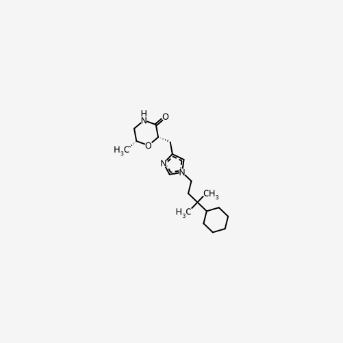 C[C@@H]1CNC(=O)[C@H](Cc2cn(CCC(C)(C)C3CCCCC3)cn2)O1